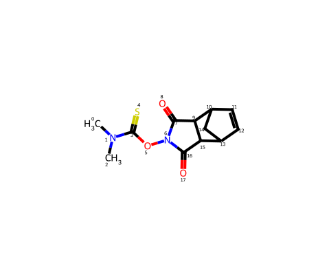 CN(C)C(=S)ON1C(=O)C2C3C=CC(C3)C2C1=O